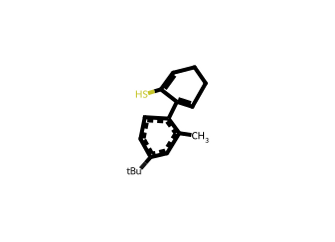 Cc1cc(C(C)(C)C)ccc1C1=CCCC=C1S